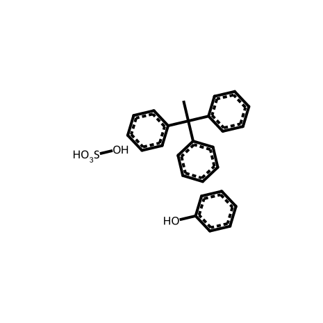 CC(c1ccccc1)(c1ccccc1)c1ccccc1.O=S(=O)(O)O.Oc1ccccc1